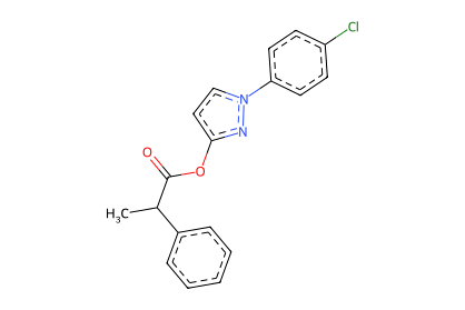 CC(C(=O)Oc1ccn(-c2ccc(Cl)cc2)n1)c1ccccc1